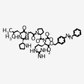 CC(C)C[C@H](NC(=O)[C@@H]1CCCN1)C(=O)NCC(=O)N1CCC[C@H]1C(=O)N(C([O])=O)[C@H](CCCNC(=N)N)C(=O)OCc1ccc(N=Nc2ccccc2)cc1